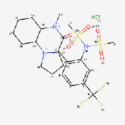 CN(C(=O)Cc1ccc(C(F)(F)F)cc1N(S(C)(=O)=O)S(C)(=O)=O)C1CCCCC1N1CCCC1.Cl